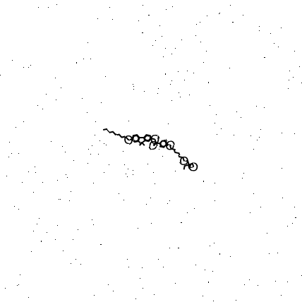 CCCCCCCCOc1ccc2c(c1)C(C)(C)c1cc(OC(=O)c3ccc(OCCCCCCOCC4(CC)COC4)cc3)ccc1-2